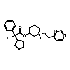 C[N@+]1(CCc2ccncn2)CCCC(OC(=O)C(O)(c2ccccc2)C2CCCC2)C1